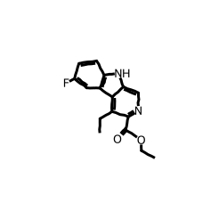 CCOC(=O)c1ncc2[nH]c3ccc(F)cc3c2c1CC